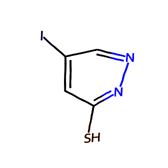 Sc1cc(I)cnn1